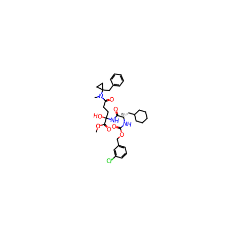 COC(=O)C(O)(CCC(=O)N(C)C1(Cc2ccccc2)CC1)NC(=O)[C@H](CC1CCCCC1)NC(=O)OCc1cccc(Cl)c1